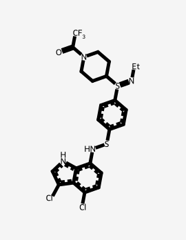 CC/N=S(/c1ccc(SNc2ccc(Cl)c3c(Cl)c[nH]c23)cc1)C1CCN(C(=O)C(F)(F)F)CC1